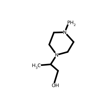 CC(CO)N1CCN(P)CC1